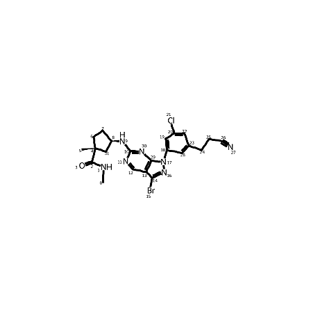 CNC(=O)[C@]1(C)CC[C@@H](Nc2ncc3c(Br)nn(-c4cc(Cl)cc(CCC#N)c4)c3n2)C1